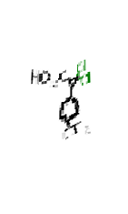 O=C(O)C1C(c2ccc(C(F)(F)F)cc2)C1(Cl)Cl